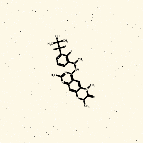 Cc1nc(NC(C)c2cccc(C(F)(F)C(C)(C)O)c2F)c2cc3c(cc2n1)OC(C)C(=O)N3C